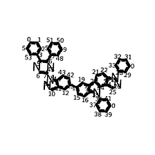 c1ccc(-c2ncc(-n3ncc4cc(-c5ccc6c(c5)c5ccc7c(cnn7-c7ccccc7)c5n6-c5ccccc5)ccc43)nc2-c2ccccc2)cc1